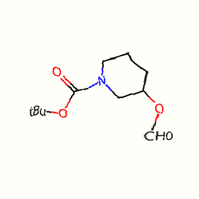 CC(C)(C)OC(=O)N1CCCC(OC=O)C1